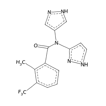 Cc1c(C(=O)N(c2cn[nH]c2)c2cc[nH]n2)cccc1C(F)(F)F